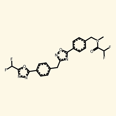 CN(Cc1ccc(-c2nc(Cc3ccc(-c4nnc(C(F)F)o4)cc3)no2)cc1)C(=O)C(F)F